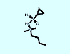 CCCC[Si](C)(C)NS(=N)(=O)C1CC1